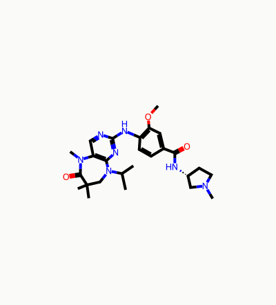 COc1cc(C(=O)N[C@@H]2CCN(C)C2)ccc1Nc1ncc2c(n1)N(C(C)C)CC(C)(C)C(=O)N2C